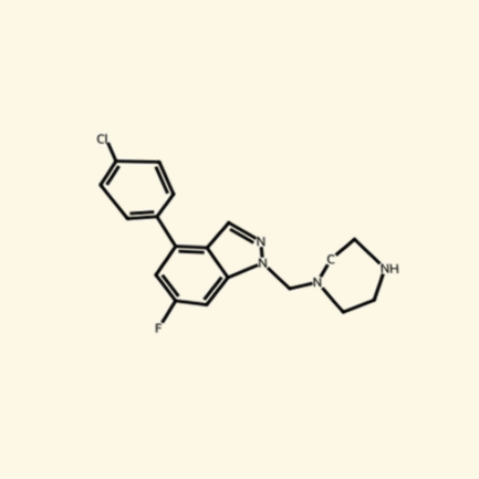 Fc1cc(-c2ccc(Cl)cc2)c2cnn(CN3CCNCC3)c2c1